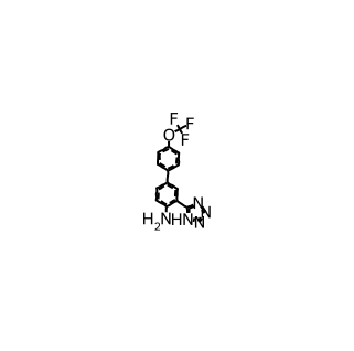 Nc1ccc(-c2ccc(OC(F)(F)F)cc2)cc1-c1nnn[nH]1